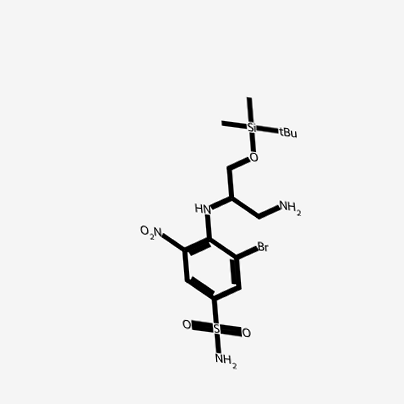 CC(C)(C)[Si](C)(C)OCC(CN)Nc1c(Br)cc(S(N)(=O)=O)cc1[N+](=O)[O-]